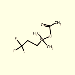 CC(=O)O[Si](C)(C)CCC(F)(F)F